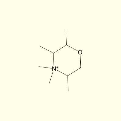 CC1OCC(C)[N+](C)(C)C1C